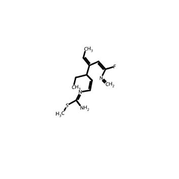 C=N/C(F)=C\C(=C/C)C(/C=C\N=C(/N)SC)CC